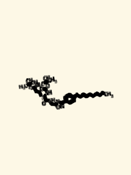 CCCCCCCCCCc1ccc(-c2noc(CNC(=O)[C@H](CCCC(=O)OC(C)(C)C)NC(=O)OC(C)(C)C)n2)cc1